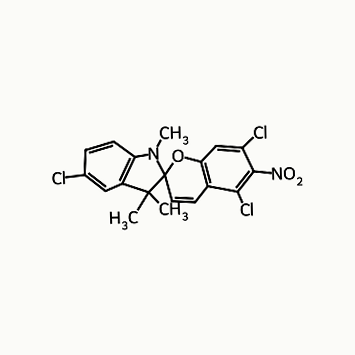 CN1c2ccc(Cl)cc2C(C)(C)C12C=Cc1c(cc(Cl)c([N+](=O)[O-])c1Cl)O2